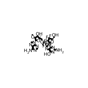 CO[C@H]1[C@@H](n2cnc3c(N)ncnc32)O[C@](C)(COP(O)(=S)O[C@H]2[C@H](n3cnc4c(O)nc(N)nc43)O[C@H](CO)C2(F)F)[C@H]1O